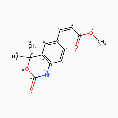 COC(=O)/C=C\c1ccc2c(c1)C(C)(C)OC(=O)N2